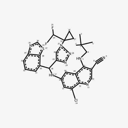 CC(C)(C)CNc1c(C#N)cnc2c(Cl)cc(NC(c3cn(C4(C(F)F)CC4)nn3)c3cccc4ncsc34)cc12